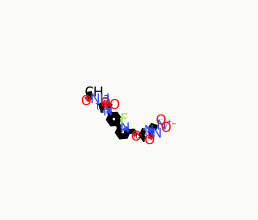 CC(=O)NC[C@H]1CN(c2ccc(-c3cccc(CO[C@@H]4COc5nc([N+](=O)[O-])cn5C4)n3)c(F)c2)C(=O)O1